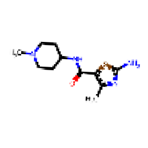 Cc1nc(N)sc1C(=O)NC1CCN(C)CC1